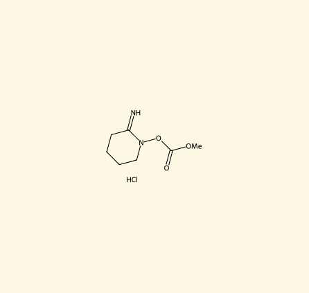 COC(=O)ON1CCCCC1=N.Cl